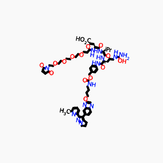 Cc1cccc(-c2nn3c(c2-c2ccc4ncc(OCCCCNC(=O)OCc5ccc(NC(=O)[C@H](CCCNC(N)O)NC(=O)[C@@H](NC(=O)[C@H](CCC(=O)O)NC(=O)CCOCCOCCOCCOCCN6C(=O)C=CC6=O)C(C)C)cc5)nc4c2)CCC3)n1